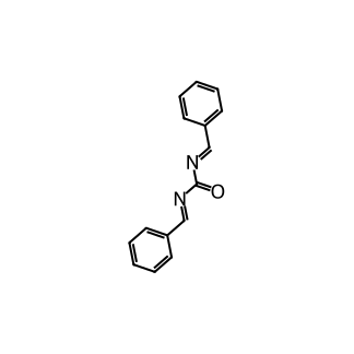 O=C(N=Cc1ccccc1)N=Cc1ccccc1